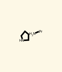 C1CCNC1.CC(C)N